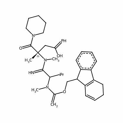 C=C(OCC1C2=C(CCC=C2)c2ccccc21)N(C)C(C(=N)N(C)[C@@](C)(CC(O)=P)C(=O)N1CCCCC1)C(C)C